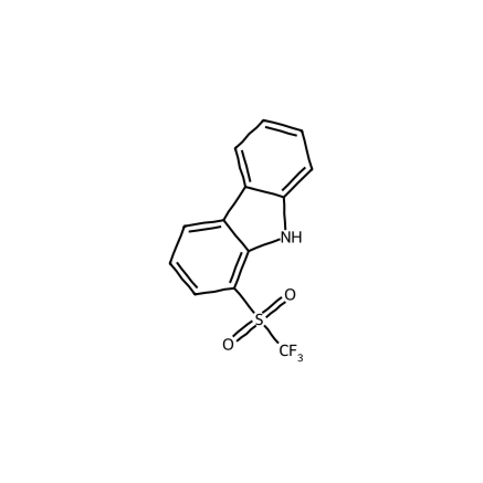 O=S(=O)(c1cccc2c1[nH]c1ccccc12)C(F)(F)F